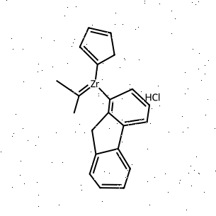 C[C](C)=[Zr]([C]1=CC=CC1)[c]1cccc2c1Cc1ccccc1-2.Cl